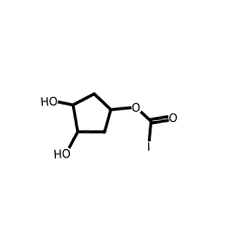 O=C(I)OC1CC(O)C(O)C1